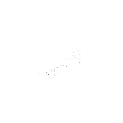 CC(O)[C@H]1CC(F)(F)CN1C1CCN(C2CC3(CCN(C(=O)O)C3)C2)CC1